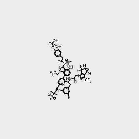 CC(C)(C#Cc1ccc(-c2ccc(Cl)c3c(N(C(=O)Cc4ccc(OP(=O)(O)O)cc4)S(C)(=O)=O)nn(CC(F)(F)F)c23)c([C@H](Cc2cc(F)cc(F)c2)NC(=O)Cn2nc(C(F)(F)F)c3c2C(F)(F)[C@@H]2C[C@H]32)n1)S(C)(=O)=O